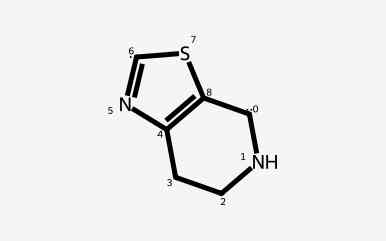 [C]1NCCc2n[c]sc21